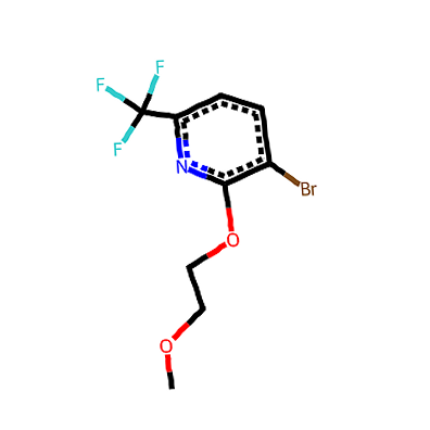 COCCOc1nc(C(F)(F)F)ccc1Br